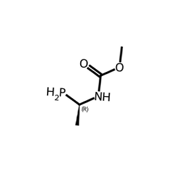 COC(=O)N[C@@H](C)P